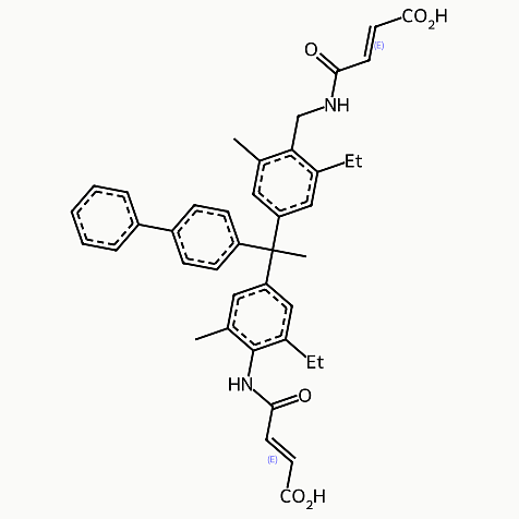 CCc1cc(C(C)(c2ccc(-c3ccccc3)cc2)c2cc(C)c(NC(=O)/C=C/C(=O)O)c(CC)c2)cc(C)c1CNC(=O)/C=C/C(=O)O